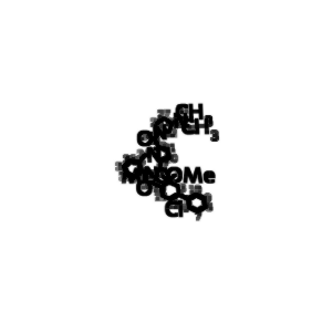 COC1(OC)CC(c2ccccc2)=C(Cl)C=C1C(=O)N1Cc2ccc(C(=O)N3CC[C@@H](N(C)C)C3)n2Cc2ccccc21